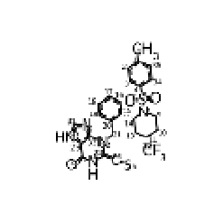 Cc1ccc(S(=O)(=O)N2CC[C@H](C(F)(F)F)C[C@@H]2c2ccccc2CN2C(=C=S)NC(=O)c3[nH]cnc32)cc1